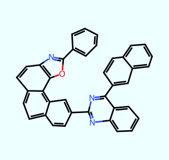 c1ccc(-c2nc3ccc4ccc5ccc(-c6nc(-c7ccc8ccccc8c7)c7ccccc7n6)cc5c4c3o2)cc1